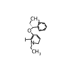 CC[C@@H](OC1=C(I)N(CC)CC=C1)c1ccccc1